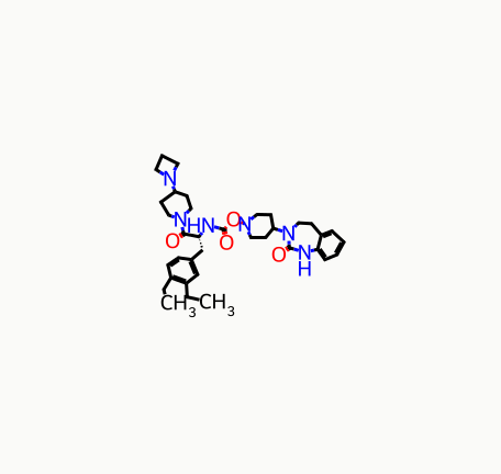 CCc1ccc(C[C@@H](NC(=O)ON2CCC(N3CCc4ccccc4NC3=O)CC2)C(=O)N2CCC(N3CCC3)CC2)cc1CC